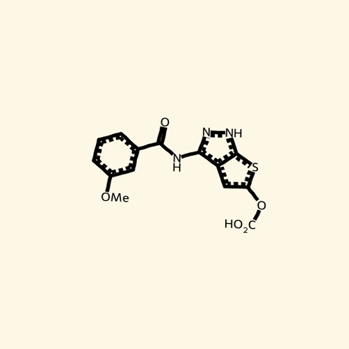 COc1cccc(C(=O)Nc2n[nH]c3sc(OC(=O)O)cc23)c1